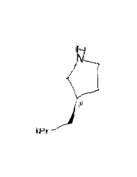 CC(C)C[C@@H]1CCNC1